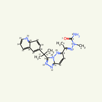 C/C(=N\N(C)C(N)=O)c1ccc2nnc(C(C)(C)c3ccc4ncccc4c3)n2n1